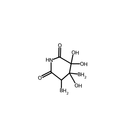 BC1C(=O)NC(=O)C(O)(O)C1(B)O